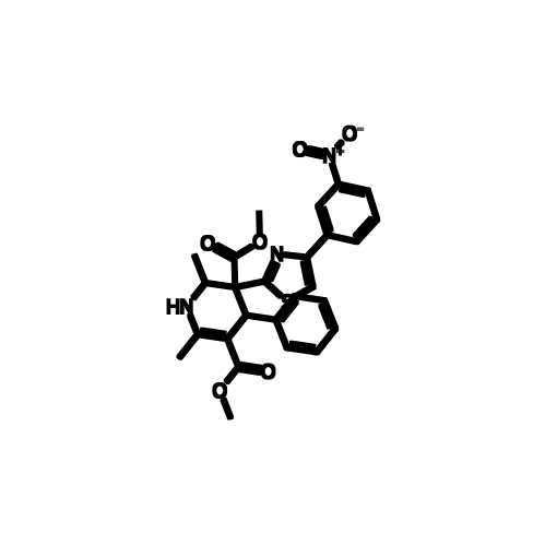 COC(=O)C1=C(C)NC(C)C(C(=O)OC)(c2nc(-c3cccc([N+](=O)[O-])c3)cs2)C1c1ccccc1